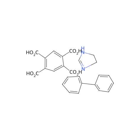 C1=NCCN1.O=C(O)c1cc(C(=O)O)c(C(=O)O)cc1C(=O)O.c1ccc(-c2ccccc2)cc1